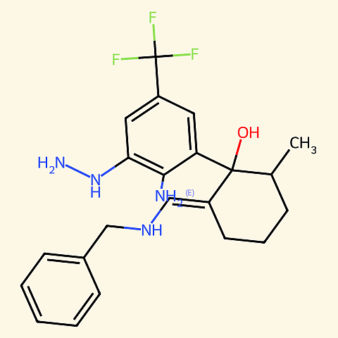 CC1CCC/C(=C\NCc2ccccc2)C1(O)c1cc(C(F)(F)F)cc(NN)c1N